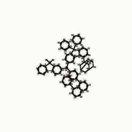 CC1(C)c2ccccc2-c2ccc(N(c3ccc(-c4cccc5cccc(-c6ccccc6)c45)cc3)c3ccc4c(c3)-c3c(C56CC7CC(CC(C7)C5)C6)cccc3C4(c3ccccc3)c3ccccc3)cc21